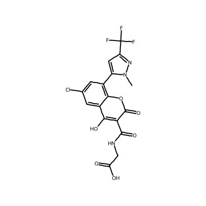 Cn1nc(C(F)(F)F)cc1-c1cc(Cl)cc2c(O)c(C(=O)NCC(=O)O)c(=O)oc12